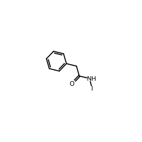 O=C(Cc1ccccc1)NI